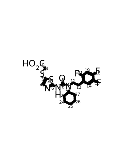 O=C(O)CSc1cnc(NC(=O)N(CCc2cc(F)c(F)cc2F)C2CCCCC2)s1